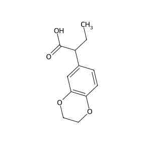 CCC(C(=O)O)c1ccc2c(c1)OCCO2